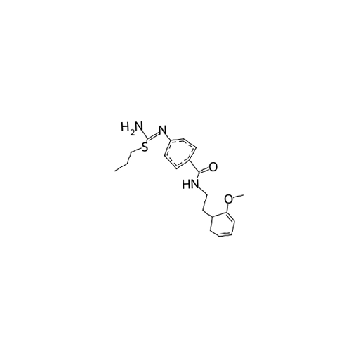 CCCS/C(N)=N\c1ccc(C(=O)NCCC2CC=CC=C2OC)cc1